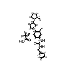 Cc1cc(NC(=O)NCc2cccs2)ccc1N1CCC(N2CCCC2C)C1.O=C(O)C(F)(F)F